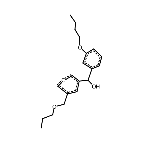 CCCCOc1cccc(C(O)c2cccc(COCCC)c2)c1